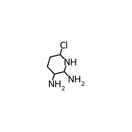 NC1CCC(Cl)NC1N